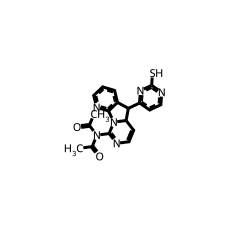 CC(=O)N(C(C)=O)C1=NC=CC2C(c3ccnc(S)n3)c3cccnc3N12